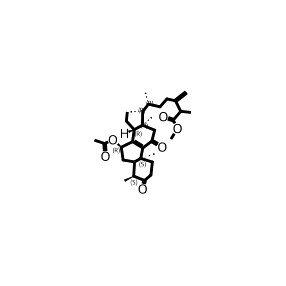 C=C(CC[C@@H](C)[C@H]1CC[C@H]2C3=C(C(=O)C[C@]12C)[C@@]1(C)CCC(=O)[C@@H](C)C1C[C@H]3OC(C)=O)C(C)C(=O)OC